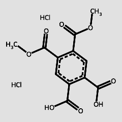 COC(=O)c1cc(C(=O)O)c(C(=O)O)cc1C(=O)OC.Cl.Cl